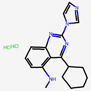 CNc1cccc2nc(-n3ccnc3)nc(C3CCCCC3)c12.Cl.Cl